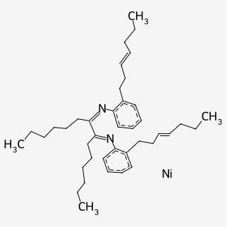 CCCC=CCCc1ccccc1N=C(CCCCCC)C(CCCCCC)=Nc1ccccc1CCC=CCCC.[Ni]